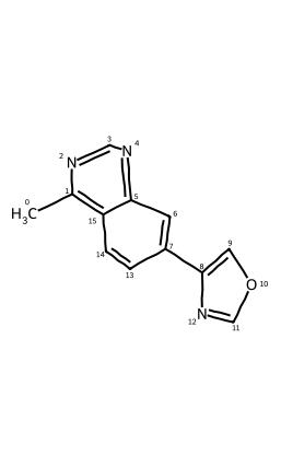 Cc1ncnc2cc(-c3cocn3)ccc12